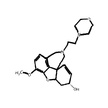 COc1ccc2c3c1OC1C[C@@H](O)C=CC31CCN(CCN1CCOCC1)C2